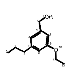 CCCc1cc(CO)cc(OCC)c1